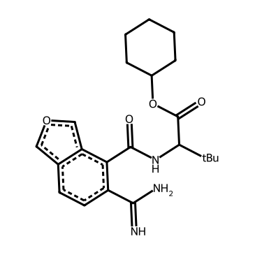 CC(C)(C)C(NC(=O)c1c(C(=N)N)ccc2cocc12)C(=O)OC1CCCCC1